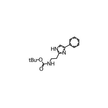 CC(C)(C)OC(=O)NCCc1nc(-c2ccccc2)c[nH]1